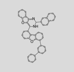 c1ccc(-c2cccc(-c3cccc4c3oc3cccc(C5=c6oc7ccccc7c6=NC(c6ccc7ccccc7c6)N5)c34)c2)cc1